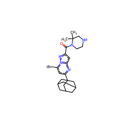 CC(C)(C)c1cc(C23CC4CC(CC(C4)C2)C3)nc2cc(C(=O)N3CCNCC3(C)C)nn12